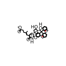 COC(=O)CC/C(C)=C/c1cn([C@H]2C[C@H](O)[C@@H](C(O)C(c3ccccc3)(c3ccccc3OC)c3ccccc3OC)O2)c(=O)[nH]c1=O